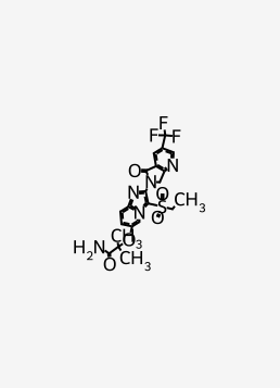 CCS(=O)(=O)c1c(N2Cc3ncc(C(F)(F)F)cc3C2=O)nc2ccc(OC(C)(C)C(N)=O)cn12